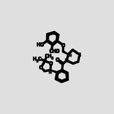 CC1(C)OC[C@H](c2ccccc2C(=O)N2CCSC[C@@H]2COc2cccc(O)c2C=O)O1